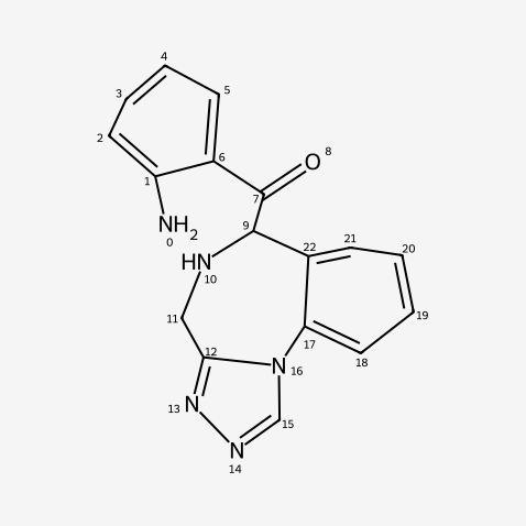 Nc1ccccc1C(=O)C1NCc2nncn2-c2ccccc21